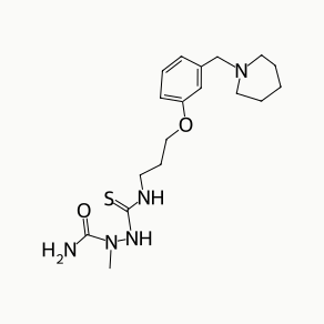 CN(NC(=S)NCCCOc1cccc(CN2CCCCC2)c1)C(N)=O